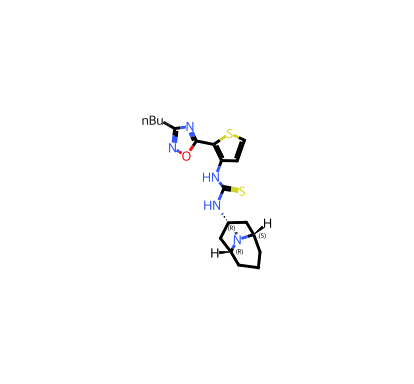 CCCCc1noc(-c2sccc2NC(=S)N[C@H]2C[C@H]3CCC[C@@H](C2)N3C)n1